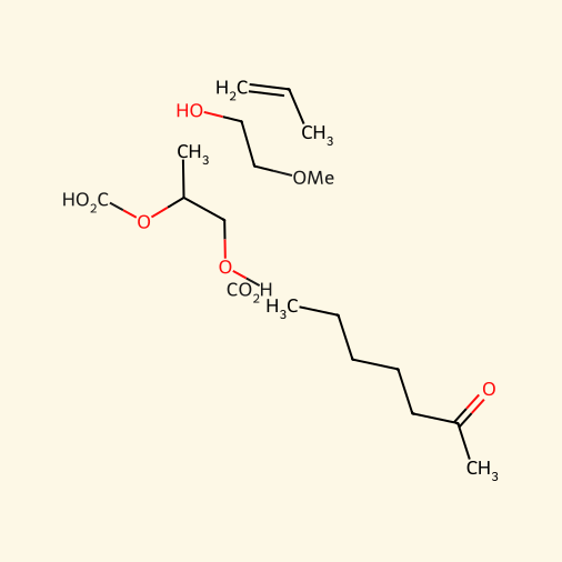 C=CC.CC(COC(=O)O)OC(=O)O.CCCCCC(C)=O.COCCO